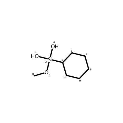 CO[Si](O)(O)C1CCCCC1